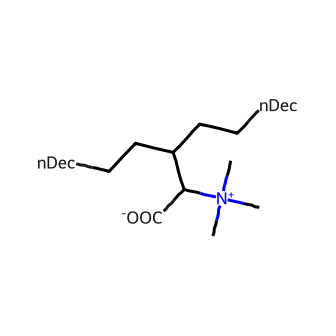 CCCCCCCCCCCCC(CCCCCCCCCCCC)C(C(=O)[O-])[N+](C)(C)C